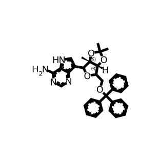 CC1(C)O[C@@H]2C(COC(c3ccccc3)(c3ccccc3)c3ccccc3)OC(c3c[nH]c4c(N)ncnc34)[C@]2(C)O1